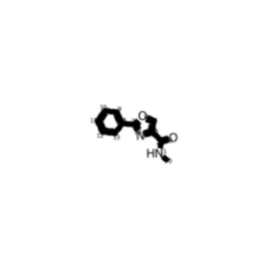 CNC(=O)c1coc(C2=CC=C=C=C2)n1